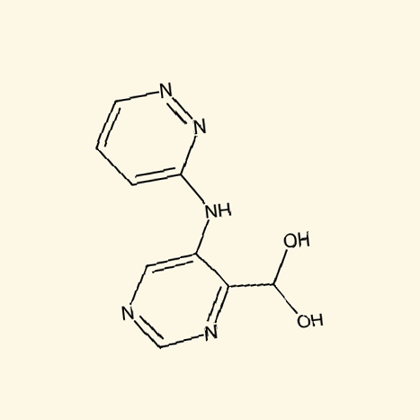 OC(O)c1ncncc1Nc1cccnn1